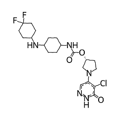 O=C(NC1CCC(NC2CCC(F)(F)CC2)CC1)O[C@@H]1CCN(c2cn[nH]c(=O)c2Cl)C1